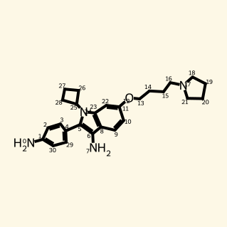 Nc1ccc(-c2c(N)c3ccc(OCCCCN4CCCC4)cc3n2C2CCC2)cc1